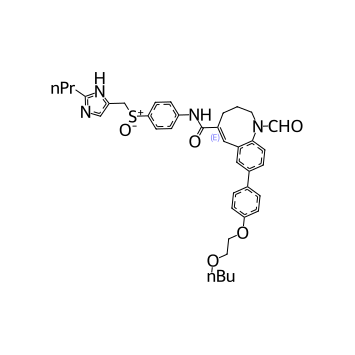 CCCCOCCOc1ccc(-c2ccc3c(c2)/C=C(/C(=O)Nc2ccc([S+]([O-])Cc4cnc(CCC)[nH]4)cc2)CCCN3C=O)cc1